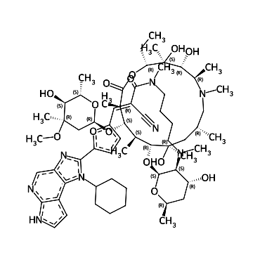 CC[C@H]1OC(=O)[C@H](C)[C@@H](O[C@H]2C[C@@](C)(OC)[C@@H](O)[C@H](C)O2)[C@H](C)[C@@H](O[C@@H]2O[C@H](C)C[C@@H](O)[C@@H]2N(C)CCCCN(C)C(=O)C(C#N)=Cc2ccc(-c3nc4cnc5[nH]ccc5c4n3C3CCCCC3)o2)[C@](C)(O)C[C@@H](C)CN(C)[C@H](C)[C@@H](O)[C@]1(C)O